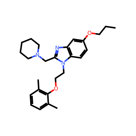 CCCOc1ccc2c(c1)nc(CN1CCCCC1)n2CCOc1c(C)cccc1C